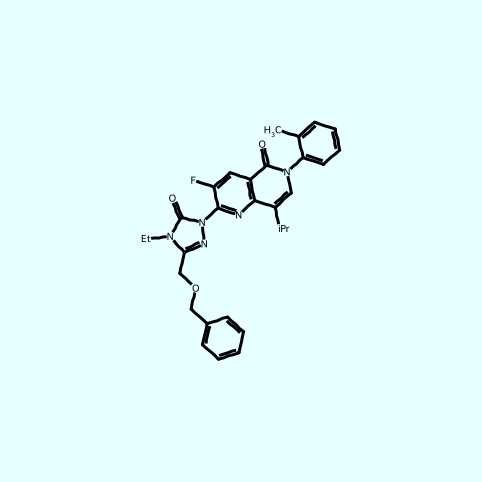 CCn1c(COCc2ccccc2)nn(-c2nc3c(C(C)C)cn(-c4ccccc4C)c(=O)c3cc2F)c1=O